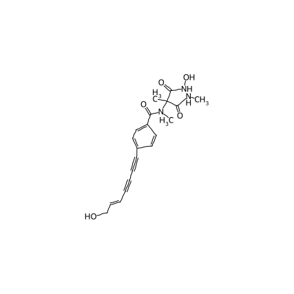 CNC(=O)C(C)(C(=O)NO)N(C)C(=O)c1ccc(C#CC#C/C=C/CO)cc1